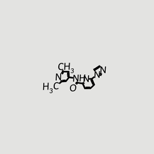 Cc1cc(NC(=O)c2cccc(-n3ccnc3)n2)cc(C)n1